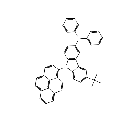 CC(C)(C)c1ccc2c(c1)c1cc(N(c3ccccc3)c3ccccc3)ccc1n2-c1ccc2ccc3cccc4ccc1c2c34